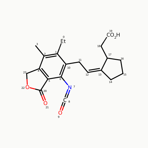 CCc1c(C)c2c(c(N=C=O)c1C/C=C1/CCCC1CC(=O)O)C(=O)OC2